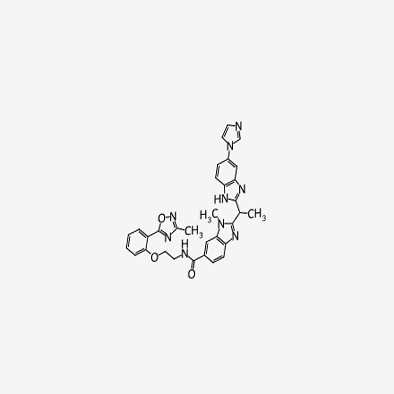 Cc1noc(-c2ccccc2OCCNC(=O)c2ccc3nc(C(C)c4nc5cc(-n6ccnc6)ccc5[nH]4)n(C)c3c2)n1